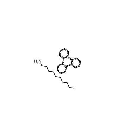 CCCCCCCCCCN.c1ccc2c(c1)c1ccccc1c1ccccc21